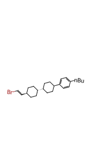 CCCCc1ccc(C2CCC([C@H]3CC[C@H](/C=C/Br)CC3)CC2)cc1